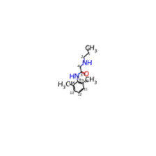 CCCNCC(=O)Nc1c(C)cccc1C